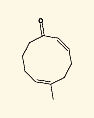 CC1=CCCCC(=O)C=CCC1